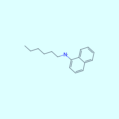 CCCCCC[N]c1cccc2ccccc12